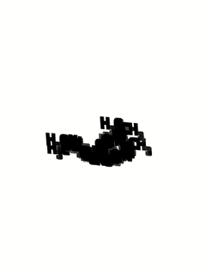 CCn1cc(-c2ccc(Oc3nc(Oc4ccc(-c5cn(C(C)C)nn5)cc4)nc(Oc4ccc(-c5cn(C(C)C)nn5)cc4)n3)cc2)nn1